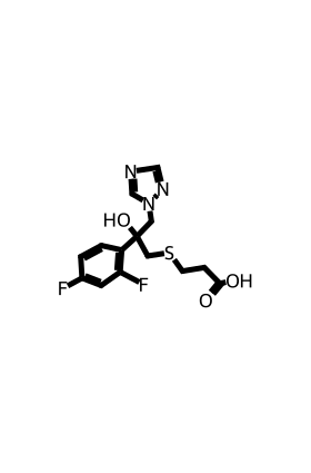 O=C(O)CCSCC(O)(Cn1cncn1)c1ccc(F)cc1F